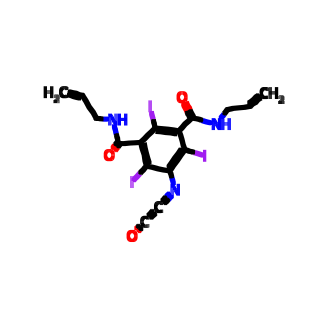 C=CCNC(=O)c1c(I)c(N=C=C=O)c(I)c(C(=O)NCC=C)c1I